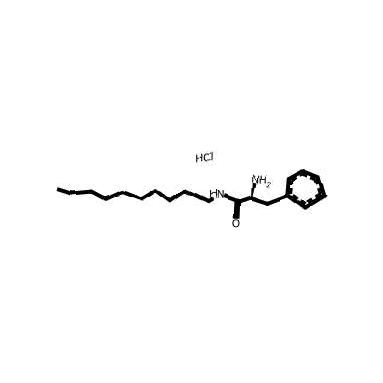 CCCCCCCCCCNC(=O)[C@@H](N)Cc1ccccc1.Cl